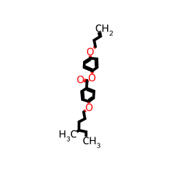 C=CCCOc1ccc(OC(=O)c2ccc(OCCCC(C)CC)cc2)cc1